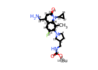 Cc1c(N2CCC(CNC(=O)OC(C)(C)C)C2)c(F)cc2c(CN)cc(=O)n(C3CC3)c12